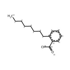 CCCCCCCCc1ccccc1C(=O)Cl